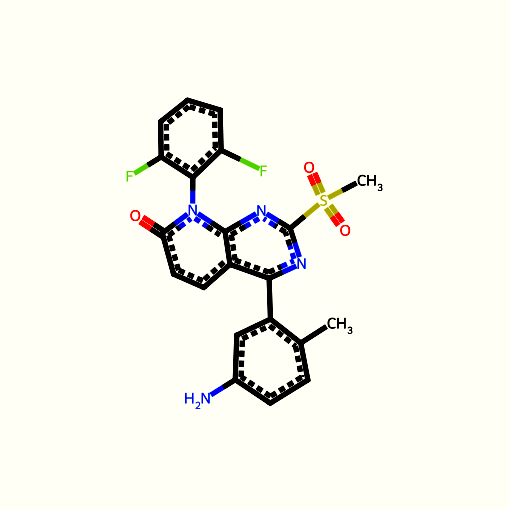 Cc1ccc(N)cc1-c1nc(S(C)(=O)=O)nc2c1ccc(=O)n2-c1c(F)cccc1F